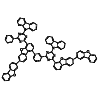 c1ccc(-c2nc(-c3ccc(-c4cccc(-c5nc(-c6cccc7c6oc6cc(-c8ccc9oc%10ccccc%10c9c8)ccc67)nc(-n6c7ccccc7c7ccccc76)n5)c4)c4c3oc3cc(-c5ccc6c(c5)oc5ccccc56)ccc34)nc(-n3c4ccccc4c4ccccc43)n2)cc1